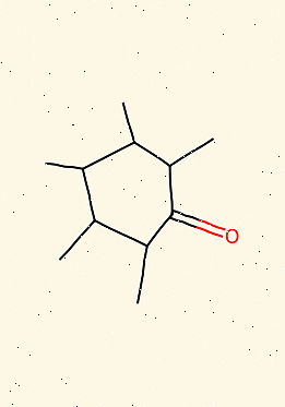 CC1C(=O)C(C)C(C)C(C)C1C